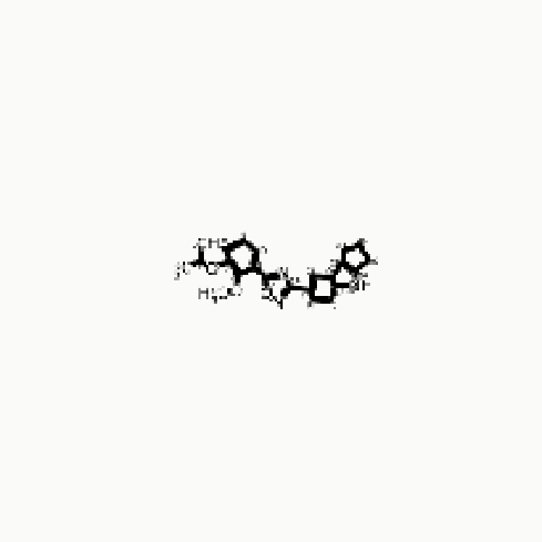 COc1c(OC(C)C)cccc1-c1nc(-c2ccc3[nH]c4c(c3c2)CC[CH]4)no1